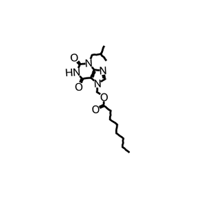 CCCCCCCC(=O)OCn1cnc2c1c(=O)[nH]c(=O)n2CC(C)C